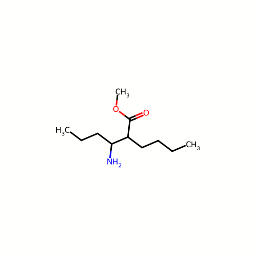 CCCCC(C(=O)OC)C(N)CCC